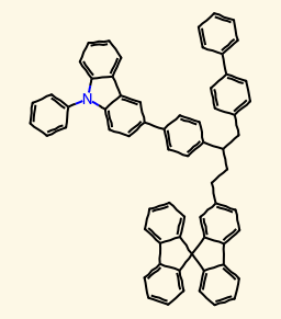 c1ccc(-c2ccc(CC(CCc3ccc4c(c3)C3(c5ccccc5-c5ccccc53)c3ccccc3-4)c3ccc(-c4ccc5c(c4)c4ccccc4n5-c4ccccc4)cc3)cc2)cc1